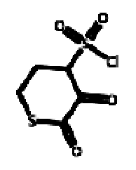 O=C1SCCC(S(=O)(=O)Cl)C1=O